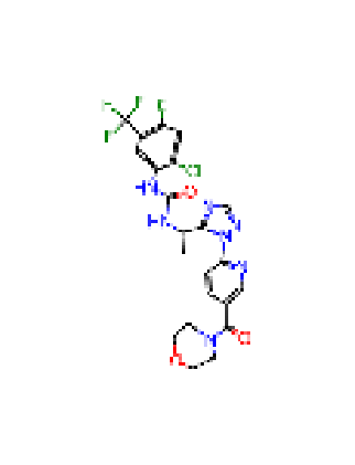 CC(NC(=O)Nc1cc(C(F)(F)F)c(Cl)cc1Cl)c1ncnn1-c1ccc(C(=O)N2CCOCC2)cn1